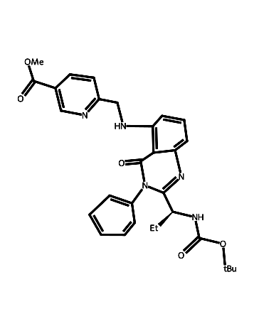 CC[C@H](NC(=O)OC(C)(C)C)c1nc2cccc(NCc3ccc(C(=O)OC)cn3)c2c(=O)n1-c1ccccc1